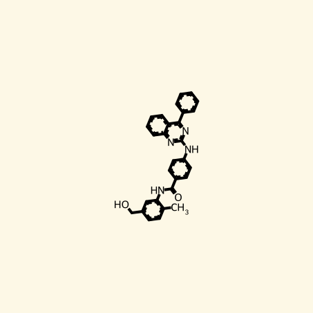 Cc1ccc(CO)cc1NC(=O)c1ccc(Nc2nc(-c3ccccc3)c3ccccc3n2)cc1